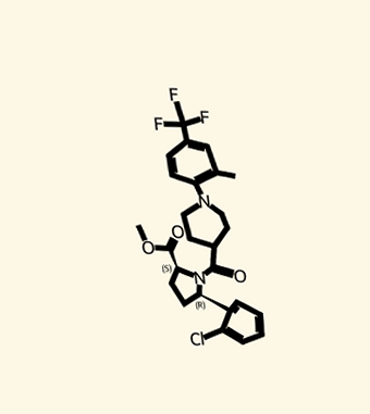 COC(=O)[C@@H]1CC[C@H](c2ccccc2Cl)N1C(=O)C1CCN(c2ccc(C(F)(F)F)cc2C)CC1